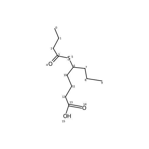 CCCC(=O)SC(CCC)CCCC(=O)O